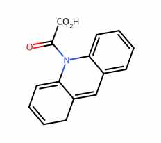 O=C(O)C(=O)N1C2=CC=CCC2=Cc2ccccc21